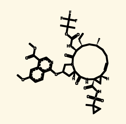 CC[C@@H]1C[C@H](C)CCC=C[C@@H]2C[C@@]2(C(=O)NS(=O)(=O)C2(C)CC2)NC(=O)[C@@H]2C[C@@H](Oc3ncc(C(=O)OC)c4cc(OC)ccc34)CN2C(=O)[C@H]1NC(=O)OC(C)(C)C(F)(F)F